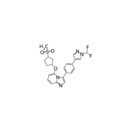 CS(=O)(=O)C1CCC(Oc2cccc3ncc(-c4ccc(-c5cnn(C(F)F)c5)cc4)n23)C1